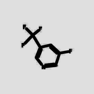 Fc1[c]ncc(C(F)(F)F)c1